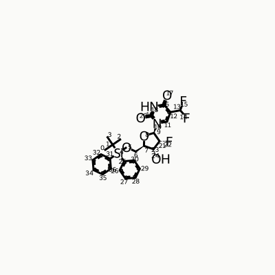 CC(C)(C)[Si](OC[C@H]1O[C@@H](n2cc(C(F)F)c(=O)[nH]c2=O)[C@H](F)[C@@H]1O)(c1ccccc1)c1ccccc1